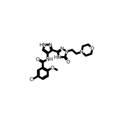 COc1ccc(Cl)cc1C(=O)Nc1c[nH]nc1-c1nn(CCN2CCOCC2)c(=O)[nH]1